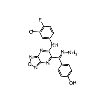 NN=C(c1ccc(O)cc1)c1nc2nonc2nc1Nc1ccc(F)c(Cl)c1